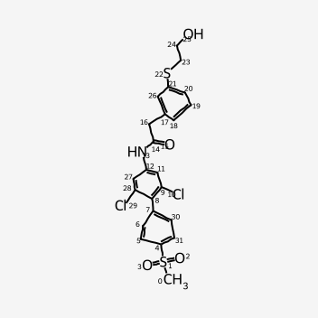 CS(=O)(=O)c1ccc(-c2c(Cl)cc(NC(=O)Cc3cccc(SCCO)c3)cc2Cl)cc1